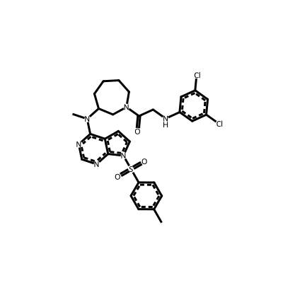 Cc1ccc(S(=O)(=O)n2ccc3c(N(C)C4CCCCN(C(=O)CNc5cc(Cl)cc(Cl)c5)C4)ncnc32)cc1